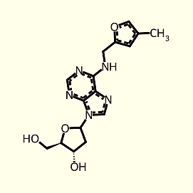 Cc1coc(CNc2ncnc3c2ncn3C2C[C@H](O)[C@@H](CO)O2)c1